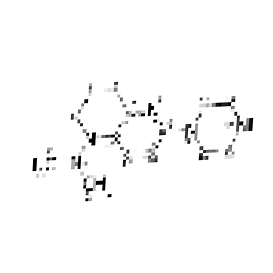 CN(C)N1CCCc2nc(N3CCNCC3)ccc21